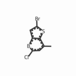 Cc1cc(Cl)bc2cc(Br)sc12